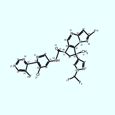 C[C@@]1(c2cnn(C(F)F)c2)C[C@@H](C(=O)Nc2cnc(-c3ncncc3F)c(Cl)c2)c2cnc3cc(F)nn3c21